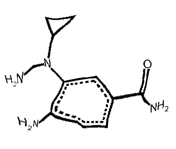 NC(=O)c1ccc(N)c(N(N)C2CC2)c1